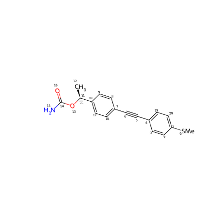 CSc1ccc(C#Cc2ccc([C@H](C)OC(N)=O)cc2)cc1